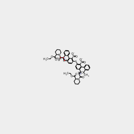 CCOC(=O)C1CCCCN1C(=O)/C=C/c1ccc(Sc2ccc(/C=C/C(=O)N3CCCCC3C(=O)OCC)c(-c3ccccc3C(C)C)c2[N+](=O)[O-])c([N+](=O)[O-])c1-c1ccccc1C(C)C